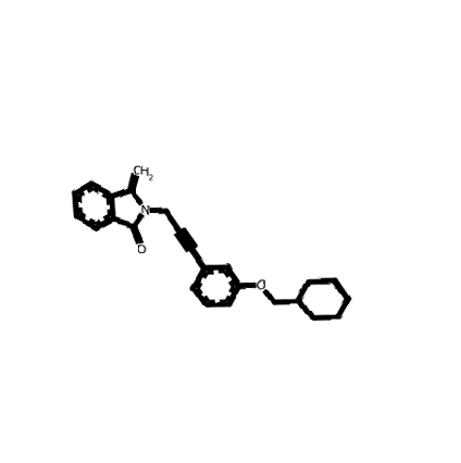 C=C1c2ccccc2C(=O)N1CC#Cc1cccc(OCC2CCCCC2)c1